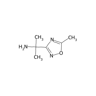 Cc1nc(C(C)(C)N)no1